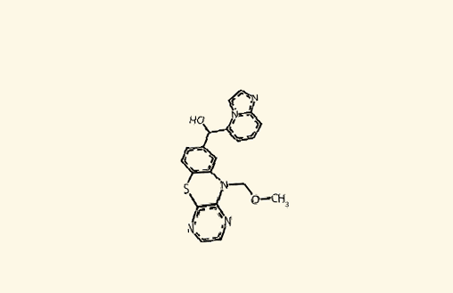 COCN1c2cc(C(O)c3cccc4nccn34)ccc2Sc2nccnc21